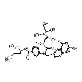 Nc1nc(=O)c2nc(CN(C(=O)[C@H](O)[C@@H](O)[C@H](O)[C@H](O)CO)c3ccc(C(=O)N[C@@H](CCC(=O)O)C(=O)O)cc3)cnc2[nH]1